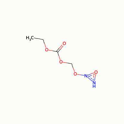 CCOC(=O)OCOn1[nH]o1